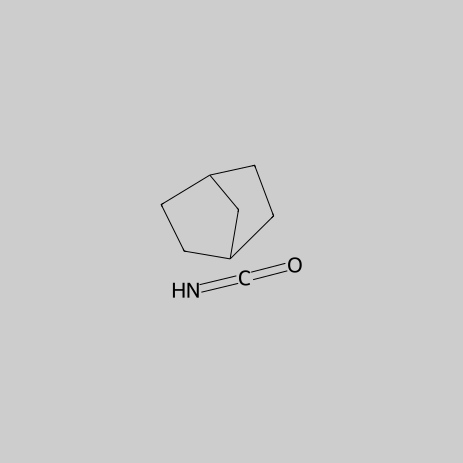 C1CC2CCC1C2.N=C=O